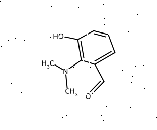 CN(C)c1c(O)cccc1C=O